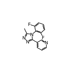 Cc1nnc(-c2cccnc2)n1-c1c(F)cccc1F